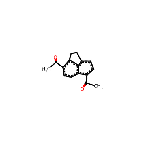 CC(=O)c1ccc2c(C(C)=O)ccc3c2c1CC3